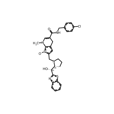 CN1C=C(C(=O)NCc2ccc(Cl)cc2)Cc2cc(CN3CCC[C@@H]3[C@@H](O)c3nc4ccccc4s3)[s+]([O-])c21